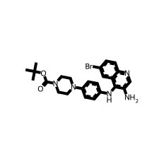 CC(C)(C)OC(=O)N1CCN(c2ccc(Nc3c(N)cnc4ccc(Br)cc34)cc2)CC1